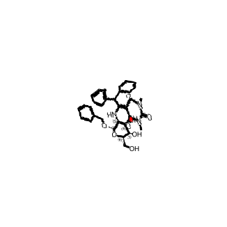 CN1C(=O)C(=C(N[C@@H]2[C@@H](OCc3ccccc3)O[C@H](CO)[C@@H](O)[C@@H]2O)C(c2ccccc2)c2ccccc2)C(=O)N(C)C1=O